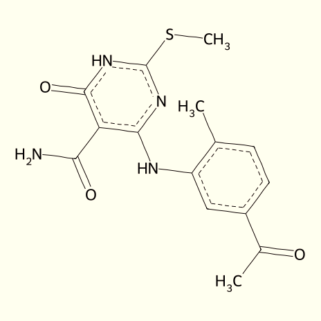 CSc1nc(Nc2cc(C(C)=O)ccc2C)c(C(N)=O)c(=O)[nH]1